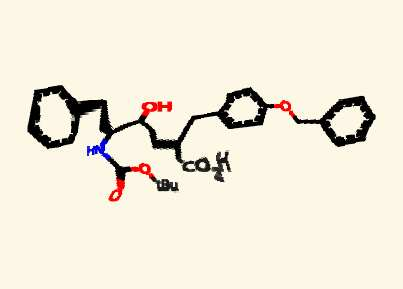 CC(C)(C)OC(=O)NC(Cc1ccccc1)C(O)CC(Cc1ccc(OCc2ccccc2)cc1)C(=O)O